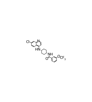 O=C(N[C@H]1CC[C@@H](Nc2ccnc3cc(Cl)ccc23)CC1)c1cccc(OC(F)(F)F)c1